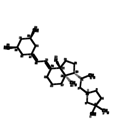 CC(CN1CCC(C)(O)C1)[C@H]1CC[C@H]2C(=C/C=C3/C[C@@H](O)C[C@@H](O)C3)CCC[C@]12C